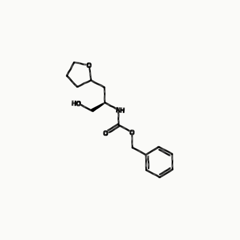 O=C(N[C@@H](CO)CC1CCCO1)OCc1ccccc1